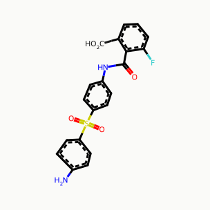 Nc1ccc(S(=O)(=O)c2ccc(NC(=O)c3c(F)cccc3C(=O)O)cc2)cc1